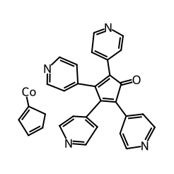 O=C1C(c2ccncc2)=C(c2ccncc2)C(c2ccncc2)=C1c1ccncc1.[Co][C]1=CC=CC1